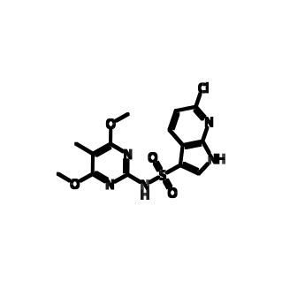 COc1nc(NS(=O)(=O)c2c[nH]c3nc(Cl)ccc23)nc(OC)c1C